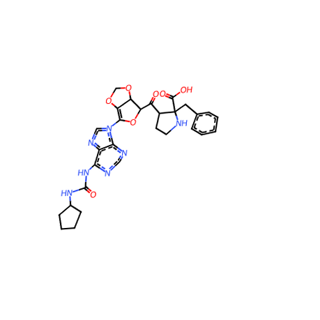 O=C(Nc1ncnc2c1ncn2C1=C2OCOC2C(C(=O)C2CCNC2(Cc2ccccc2)C(=O)O)O1)NC1CCCC1